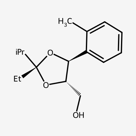 CC[C@]1(C(C)C)O[C@@H](CO)[C@H](c2ccccc2C)O1